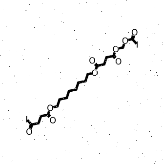 O=C(I)CCC(=O)OCCCCCCCCOC(=O)CCC(=O)OCOC(=O)I